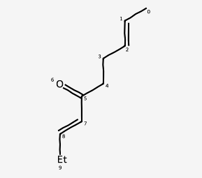 CC=CCCC(=O)C=CCC